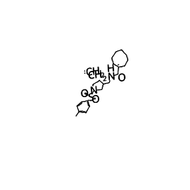 Cc1ccc(S(=O)(=O)N2CCC(CNC(=O)[C]3CCCCCCC3)C2)cc1.[CH2].[CH2]